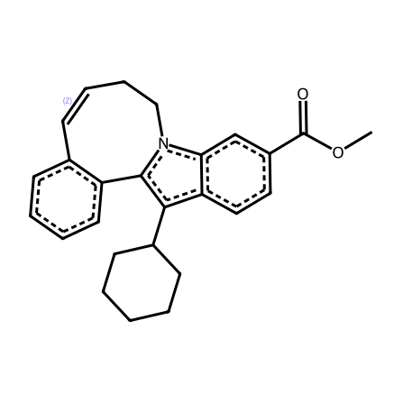 COC(=O)c1ccc2c(C3CCCCC3)c3n(c2c1)CC/C=C\c1ccccc1-3